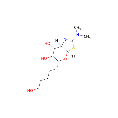 CN(C)C1=N[C@H]2[C@H](O[C@H](CCCCCO)C(O)[C@@H]2O)S1